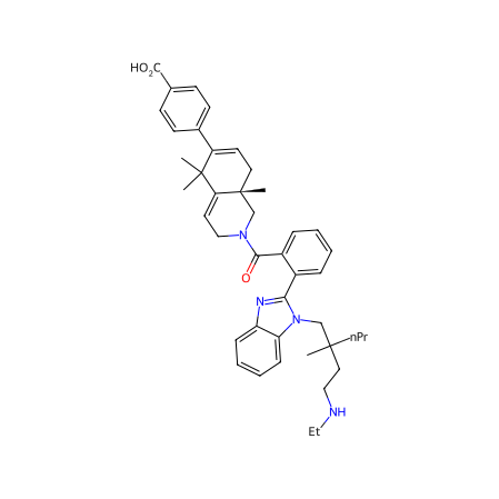 CCCC(C)(CCNCC)Cn1c(-c2ccccc2C(=O)N2CC=C3C(C)(C)C(c4ccc(C(=O)O)cc4)=CC[C@]3(C)C2)nc2ccccc21